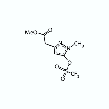 COC(=O)Cc1cc(OS(=O)(=O)C(F)(F)F)n(C)n1